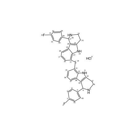 Cl.Fc1ccc(C2NCCc3[nH]c4c(Sc5cccc6c7c([nH]c56)CCNC7c5ccc(F)cc5)cccc4c32)cc1